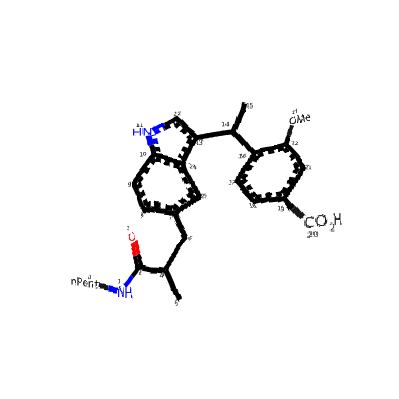 CCCCCNC(=O)C(C)Cc1ccc2[nH]cc(C(C)c3ccc(C(=O)O)cc3OC)c2c1